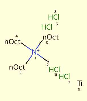 CCCCCCCC[N+](C)(CCCCCCCC)CCCCCCCC.Cl.Cl.Cl.Cl.[Ti]